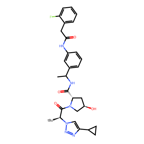 CC(NC(=O)[C@@H]1C[C@@H](O)CN1C(=O)[C@@H](n1cc(C2CC2)nn1)C(C)(C)C)c1cccc(NC(=O)Cc2ccccc2F)c1